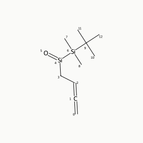 C=C=CC[Si](=O)[Si](C)(C)C(C)(C)C